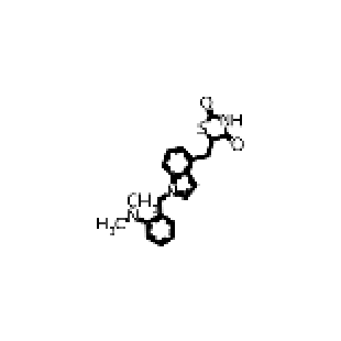 CN(C)c1ccccc1Cn1ccc2c(CC3SC(=O)NC3=O)cccc21